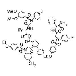 CCOc1ccc(S(=O)(=O)N(CC(=O)N2C(C(=O)OC(=O)[C@@H](NC(=O)CN(c3ccc(F)cc3)S(=O)(=O)c3ccc(OC)c(OC)c3)C(C)C)CCC2c2ccccc2)c2ccc(C)cc2)cc1.CCOc1ccc(S(=O)(=O)N(CC(=O)NC(C(N)=O)c2ccccc2)c2ccc(F)cc2)cc1